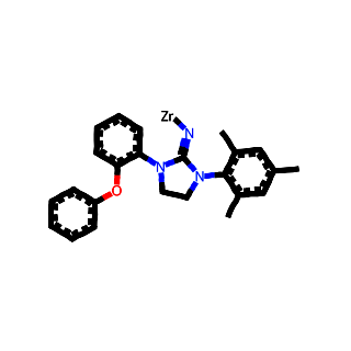 Cc1cc(C)c(N2CCN(c3ccccc3Oc3ccccc3)C2=[N][Zr])c(C)c1